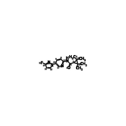 CC1(C)C(C(=O)Nc2ccc(-n3ccc(F)n3)cn2)C1(C)C